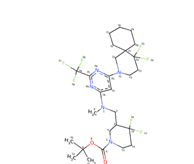 CN(CC1CN(C(=O)OC(C)(C)C)CCC1(F)F)c1cc(N2CCC(F)(F)C3(CCCCC3)C2)nc(C(F)(F)F)n1